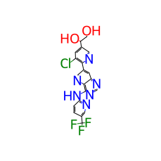 OC[C@H](O)c1cnc(-c2cnc3c(Nc4ccc(C(F)(F)F)cn4)ncnc3c2)c(Cl)c1